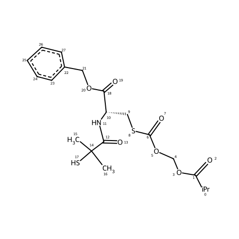 CC(C)C(=O)OCOC(=O)SC[C@H](NC(=O)C(C)(C)S)C(=O)OCc1ccccc1